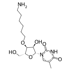 Cc1cn([C@@H]2O[C@H](CO)[C@@H](OCCCCCCN)[C@H]2O)c(=O)[nH]c1=O